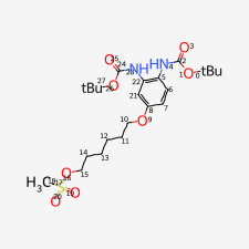 CC(C)(C)OC(=O)Nc1ccc(OCCCCCCOS(C)(=O)=O)cc1NC(=O)OC(C)(C)C